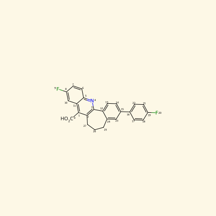 O=C(O)c1c2c(nc3ccc(F)cc13)-c1ccc(-c3ccc(F)cc3)cc1CCC2